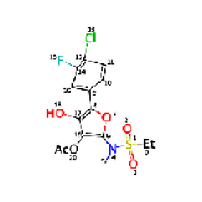 CCS(=O)(=O)N(C)c1oc(-c2ccc(Cl)c(F)c2)c(O)c1OC(C)=O